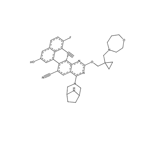 C#Cc1c(F)ccc2cc(O)cc(-c3c(C#N)cc4c(N5CC6CCC(C5)N6)nc(OCC5(CN6CCCOCC6)CC5)nc4c3F)c12